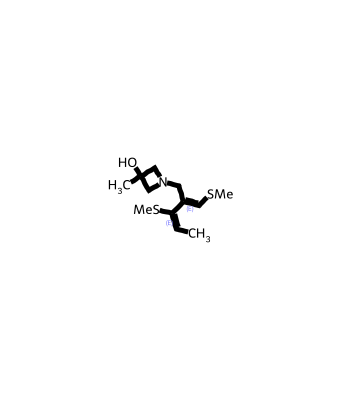 C/C=C(SC)\C(=C\SC)CN1CC(C)(O)C1